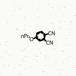 [CH2]CCOc1ccc(C#N)c(C#N)c1